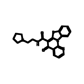 O=C(NCCN1CCCC1)c1c(=O)c2cccnc2n2c1sc1ccccc12